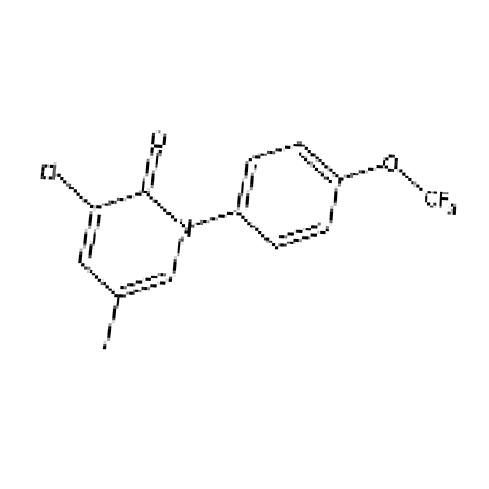 Cc1cc(Cl)c(=O)n(-c2ccc(OC(F)(F)F)cc2)c1